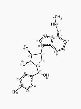 CN/N=c1/nc[nH]c2c1ncn2C1C[C@H]([C@H](O)c2ccc(Cl)cc2)[C@@H](O)[C@H]1O